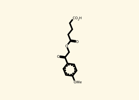 COc1ccc(C(=O)COC(=O)CCCC(=O)O)cc1